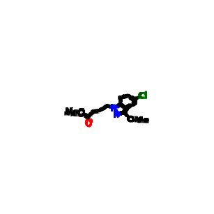 COC(=O)CCCn1nc(OC)c2cc(Cl)ccc21